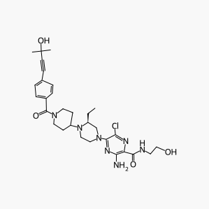 CC[C@H]1CN(c2nc(N)c(C(=O)NCCO)nc2Cl)CCN1C1CCN(C(=O)c2ccc(C#CC(C)(C)O)cc2)CC1